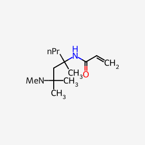 C=CC(=O)NC(C)(CCC)CC(C)(C)NC